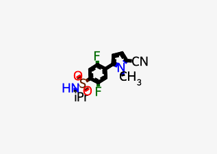 CC(C)NS(=O)(=O)c1cc(F)c(-c2ccc(C#N)n2C)cc1F